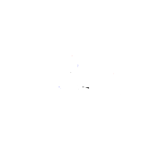 COc1ccc([C@H]2CN(Cc3ccccc3)C[C@@H]2[N+](=O)[O-])cc1OC1CCCC1